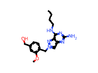 CCCCNc1nc(N)nc2cn(Cc3ccc(CO)cc3OC)nc12